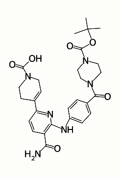 CC(C)(C)OC(=O)N1CCN(C(=O)c2ccc(Nc3nc(C4=CCN(C(=O)O)CC4)ccc3C(N)=O)cc2)CC1